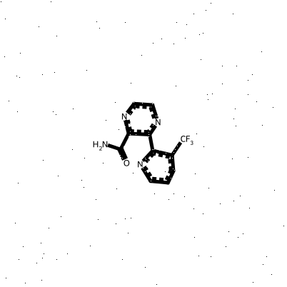 NC(=O)c1nccnc1-c1ncccc1C(F)(F)F